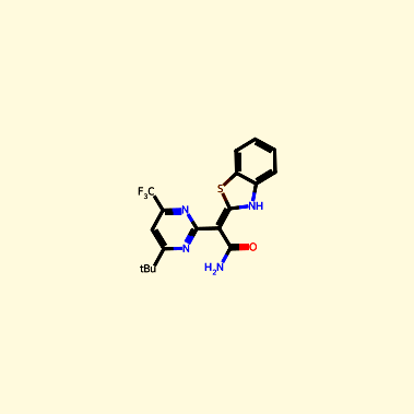 CC(C)(C)c1cc(C(F)(F)F)nc(C(C(N)=O)=C2Nc3ccccc3S2)n1